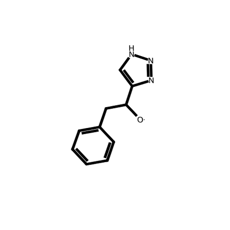 [O]C(Cc1ccccc1)c1c[nH]nn1